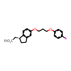 CCOC(=O)C[C@@H]1CCc2cc(OCCCOc3ccc(I)cc3)ccc21